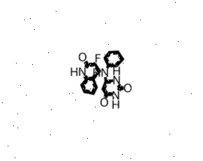 O=c1[nH]c2ccccc2cc1F.O=c1cc(Nc2ccccc2)[nH]c(=O)[nH]1